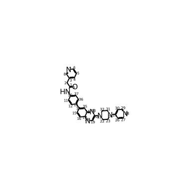 O=C(Cc1cccnc1)Nc1ccc(-c2ccc3ncc(N4CCN(c5ccncc5)CC4)nc3c2)cc1